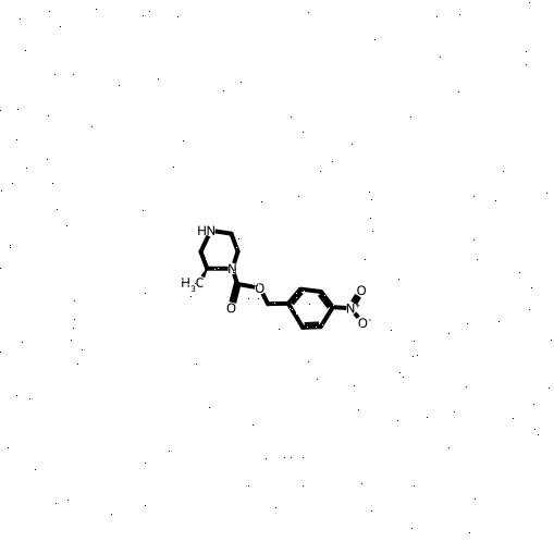 C[C@H]1CNCCN1C(=O)OCc1ccc([N+](=O)[O-])cc1